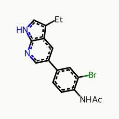 CCc1c[nH]c2ncc(-c3ccc(NC(C)=O)c(Br)c3)cc12